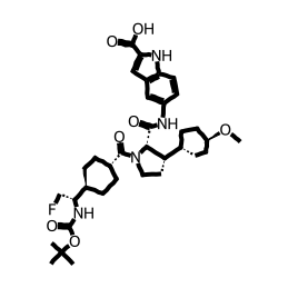 CO[C@H]1CC[C@H]([C@@H]2CCN(C(=O)[C@H]3CC[C@H]([C@@H](CF)NC(=O)OC(C)(C)C)CC3)[C@@H]2C(=O)Nc2ccc3[nH]c(C(=O)O)cc3c2)CC1